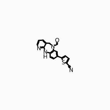 N#Cc1ccc(-c2ccc3c(c2)N(C=O)Cc2cccnc2N3)s1